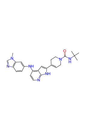 Cn1cnc2ccc(Nc3ccnc4[nH]c(C5=CCN(C(=O)NC(C)(C)C)CC5)cc34)cc21